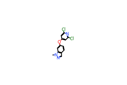 Cn1ncc2ccc(Oc3cc(Cl)nc(Cl)c3)cc21